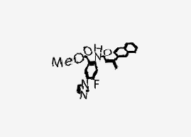 COC(=O)c1cc(-n2ccnc2)c(F)cc1NC(=O)/C=C(/C)c1ccc2ccccc2c1